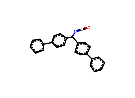 O=C=NC(c1ccc(-c2ccccc2)cc1)c1ccc(-c2ccccc2)cc1